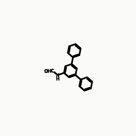 O=CNc1cc(-c2ccccc2)cc(-c2ccccc2)c1